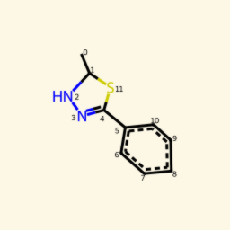 CC1NN=C(c2ccccc2)S1